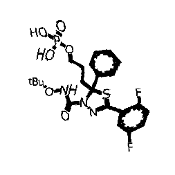 CC(C)(C)ONC(=O)N1N=C(c2cc(F)ccc2F)SC1(CCCOP(=O)(O)O)c1ccccc1